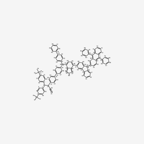 CC(C)(C)c1ccc(C(c2ccc(C(C)(C)C)cc2)C(C#N)c2ccc(-c3ccc(N(c4ccc(-c5ccccc5)cc4)c4ccc(-c5ccc6c(c5)c5ccccc5n6-c5ccc6c(-c7ccccc7)c7ccccc7c(-c7ccccc7)c6c5)c5nsnc45)cc3)cc2)cc1